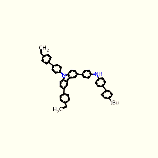 C=Cc1ccc(-c2ccc(-n3c4ccc(-c5ccc(C=C)cc5)cc4c4cc(-c5ccc(Nc6ccc(-c7ccc(C(C)(C)C)cc7)cc6)cc5)ccc43)cc2)cc1